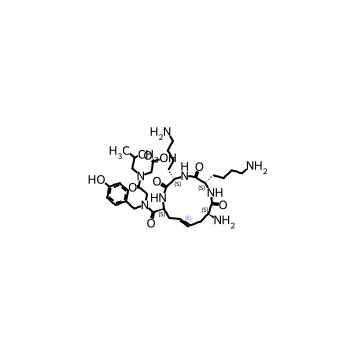 CC(C)CN(CC(=O)O)C(=O)CN(Cc1ccc(O)cc1)C(=O)[C@@H]1C/C=C/C[C@H](N)C(=O)N[C@@H](CCCCN)C(=O)N[C@@H](CCCCN)C(=O)N1